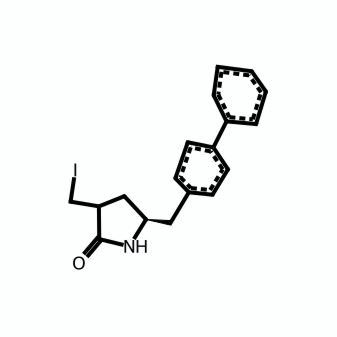 O=C1N[C@H](Cc2ccc(-c3ccccc3)cc2)CC1CI